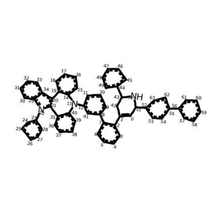 C1=C(c2ccccc2-c2cccc(N3c4ccccc4-c4c(n(-c5ccccc5)c5ccccc45)-c4ccccc43)c2)CC(c2ccccc2)NC1c1ccc(-c2ccccc2)cc1